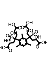 Cc1cc(C)c(C(CCC(=O)O)(CCC(=O)O)P(=O)(O)O)c(C)c1C(CCC(=O)O)(CCC(=O)O)P(=O)(O)O